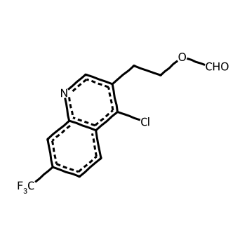 O=COCCc1cnc2cc(C(F)(F)F)ccc2c1Cl